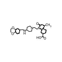 Cc1cc(=O)n(CCN2CCC(NCc3ccc4c(c3)OCCO4)CC2)c2cc(C(=O)O)ccc12